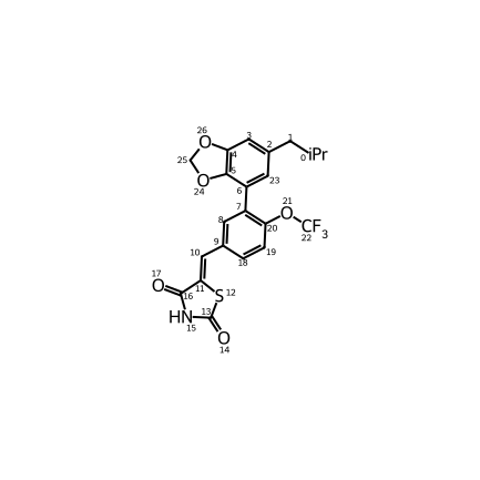 CC(C)Cc1cc2c(c(-c3cc(/C=C4\SC(=O)NC4=O)ccc3OC(F)(F)F)c1)OCO2